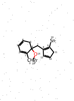 CC1=CC=CCC1(CC1=[C]([Sn])CC=C1)OC(C)C